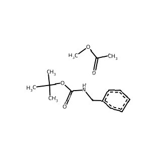 CC(C)(C)OC(=O)NCc1ccccc1.COC(C)=O